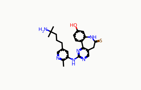 Cc1ncc(CCCC(C)(C)N)cc1Nc1ncc2c(n1)-c1ccc(O)cc1NC(=S)C2